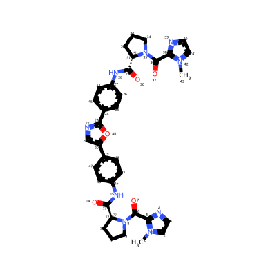 Cn1ccnc1C(=O)N1CCC[C@H]1C(=O)Nc1ccc(-c2cnc(-c3ccc(NC(=O)[C@@H]4CCCN4C(=O)c4nccn4C)cc3)o2)cc1